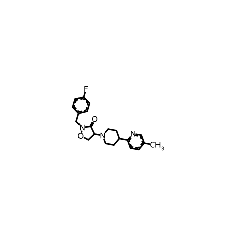 Cc1ccc(C2CCN(C3CON(Cc4ccc(F)cc4)C3=O)CC2)nc1